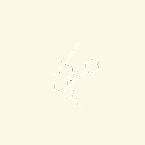 Nc1nc2c(s1)CC[C@H]1C[C@](O)(C#CCl)CC(Cc3ccccc3)[C@H]21